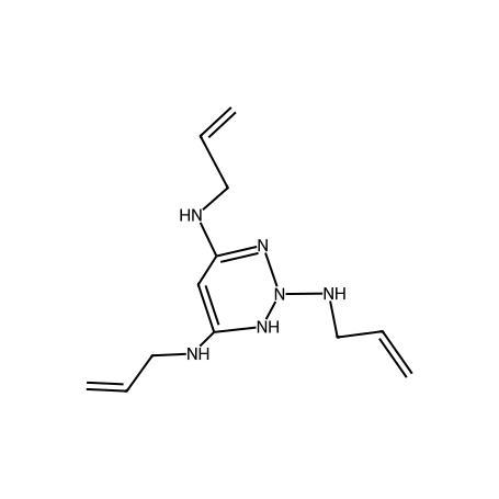 C=CCNC1=CC(NCC=C)=NN(NCC=C)N1